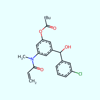 C=CC(=O)N(C)c1cc(OC(=O)C(C)(C)C)cc(C(O)c2cccc(Cl)c2)c1